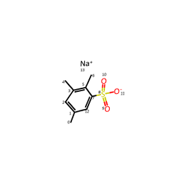 Cc1cc(C)c(C)c(S(=O)(=O)[O-])c1.[Na+]